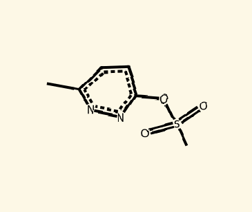 Cc1ccc(OS(C)(=O)=O)nn1